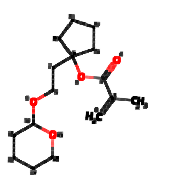 C=C(C)C(=O)OC1(CCOC2CCCCO2)CCCC1